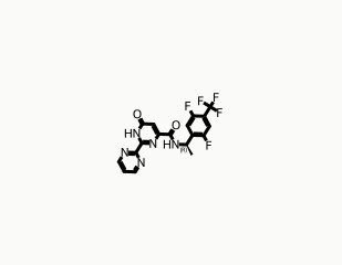 C[C@@H](NC(=O)c1cc(=O)[nH]c(-c2ncccn2)n1)c1cc(F)c(C(F)(F)F)cc1F